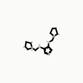 c1scc(OCN2CCCC2)c1OCN1CCCC1